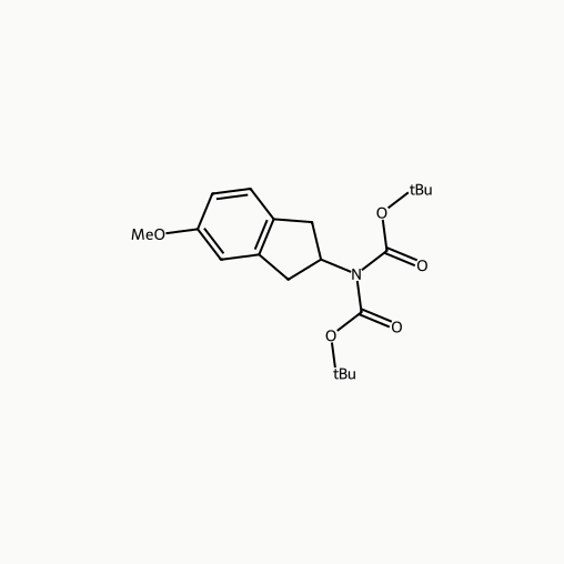 COc1ccc2c(c1)CC(N(C(=O)OC(C)(C)C)C(=O)OC(C)(C)C)C2